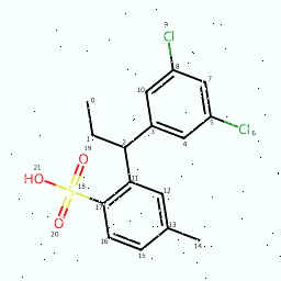 CCC(c1cc(Cl)cc(Cl)c1)c1cc(C)ccc1S(=O)(=O)O